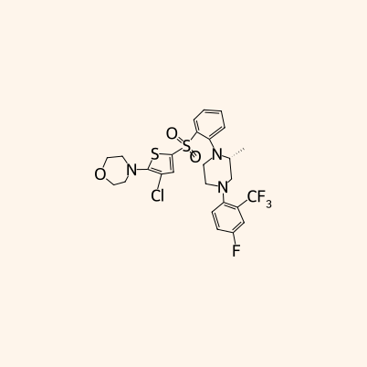 C[C@@H]1CN(c2ccc(F)cc2C(F)(F)F)CCN1c1ccccc1S(=O)(=O)c1cc(Cl)c(N2CCOCC2)s1